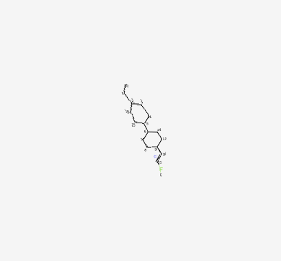 CCC1CCC(C2CCC(/C=C/F)CC2)CC1